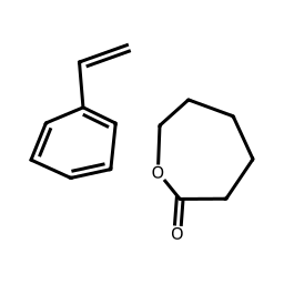 C=Cc1ccccc1.O=C1CCCCCO1